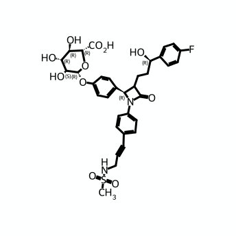 CS(=O)(=O)NCC#Cc1ccc(N2C(=O)C(CC[C@@H](O)c3ccc(F)cc3)[C@@H]2c2ccc(O[C@H]3O[C@@H](C(=O)O)[C@H](O)[C@@H](O)[C@@H]3O)cc2)cc1